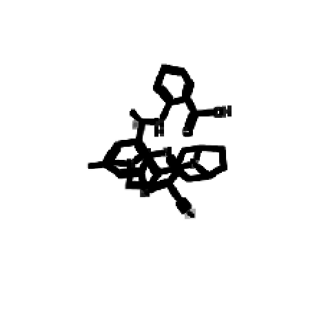 Cc1cc([C@@H](C)Nc2ccccc2C(=O)O)c2nc(N3C4CCC3CC(c3ccn(C)n3)C4)c(C#N)nc2c1